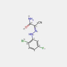 N#CC(=NNc1cc(F)ccc1Br)C(N)=O